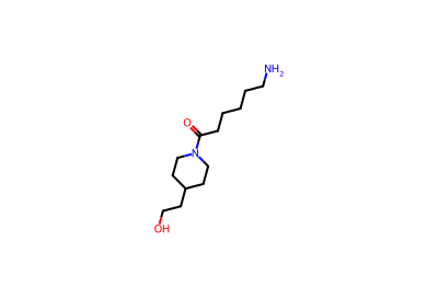 NCCCCCC(=O)N1CCC(CCO)CC1